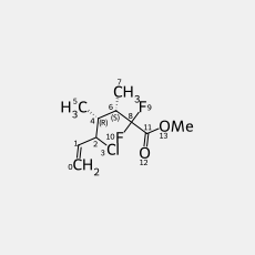 C=CC(Cl)[C@H](C)[C@H](C)C(F)(F)C(=O)OC